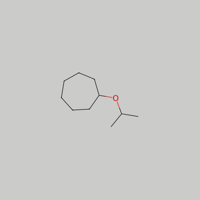 CC(C)OC1CCCCCC1